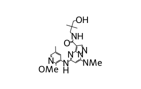 CNc1cc(Nc2cc(C)cnc2OC)nc2c(C(=O)NCC(C)(C)CO)cnn12